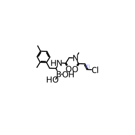 Cc1ccc(CC(NC(=O)CN(C)C(=O)/C=C/Cl)B(O)O)c(C)c1